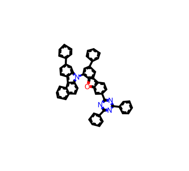 c1ccc(-c2cc(-n3c4cc(-c5ccccc5)ccc4c4c5ccccc5ccc43)c3oc4cc(-c5nc(-c6ccccc6)nc(-c6ccccc6)n5)ccc4c3c2)cc1